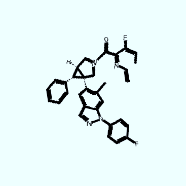 C=C/N=C(C(=O)N1C[C@@H]2[C@@H](c3ccccc3)[C@]2(c2cc3cnn(-c4ccc(F)cc4)c3cc2C)C1)\C(F)=C/C